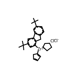 CC(C)(C)c1ccc2c(c1)-c1cc(C(C)(C)C)c[c]([Zr+2]([C]3=CC=CC3)=[C]3CCCC3)c1C2.[Cl-].[Cl-]